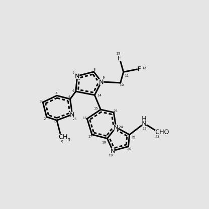 Cc1cccc(-c2ncn(CC(F)F)c2-c2ccc3ncc(NC=O)n3c2)n1